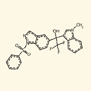 Cn1cc(C(O)(c2ccc3c(cnn3S(=O)(=O)c3ccccc3)c2)C(F)(F)F)c2ccccc21